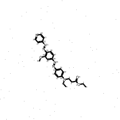 CCOC(=O)CCN(CC)c1ccc(N=Nc2ccc(N=Nc3ccncc3)c(OC)c2)cc1